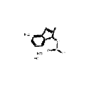 CC1=Cc2ccccc2[CH]1[Zr][P](C(C)C)C(C)C.Cl.Cl.Cl